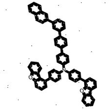 c1cc(-c2ccc(-c3ccc(N(c4ccc(-c5cccc6c5oc5ccccc56)cc4)c4ccc(-c5cccc6oc7ccccc7c56)cc4)cc3)cc2)cc(-c2ccc3ccccc3c2)c1